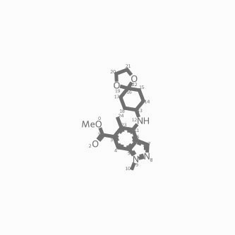 COC(=O)c1cc2c(cnn2C)c(NC2CCC3(CC2)OCCO3)c1C